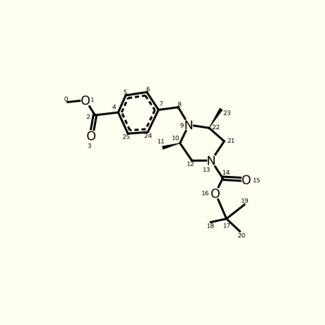 COC(=O)c1ccc(CN2[C@H](C)CN(C(=O)OC(C)(C)C)C[C@@H]2C)cc1